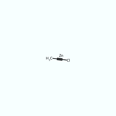 CC#CCl.[Zn]